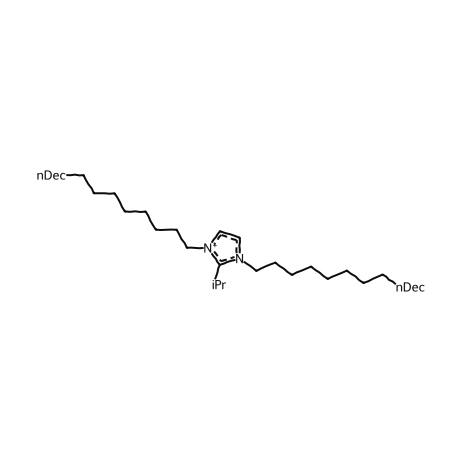 CCCCCCCCCCCCCCCCCCn1cc[n+](CCCCCCCCCCCCCCCCCC)c1C(C)C